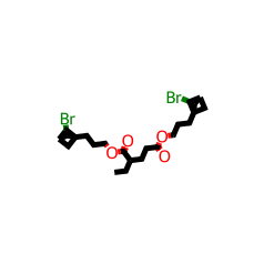 CCC(CCC(=O)OCCCC12CC(C1)C2Br)C(=O)OCCCC12CC(C1)C2Br